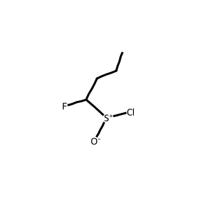 CCCC(F)[S+]([O-])Cl